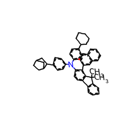 CC1(C)c2ccccc2-c2ccc(N(c3ccc(C4CCCCC4)cc3)c3ccc(C4CC5CCC4C5)cc3)c(-c3ccc4ccccc4c3)c21